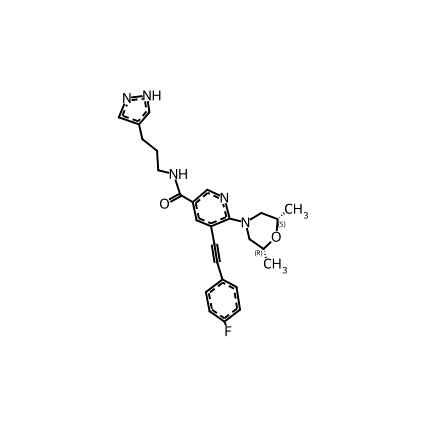 C[C@@H]1CN(c2ncc(C(=O)NCCCc3cn[nH]c3)cc2C#Cc2ccc(F)cc2)C[C@H](C)O1